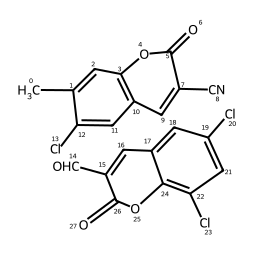 Cc1cc2oc(=O)c(C#N)cc2cc1Cl.O=Cc1cc2cc(Cl)cc(Cl)c2oc1=O